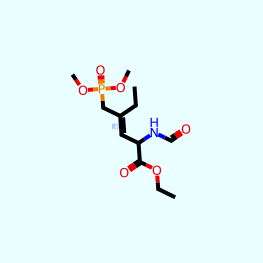 CCOC(=O)C(/C=C(\CC)CP(=O)(OC)OC)NC=O